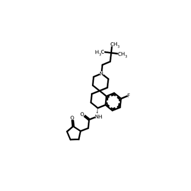 CC(C)(C)CCN1CCC2(CC[C@@H](NC(=O)CC3CCCC3=O)c3ccc(F)cc32)CC1